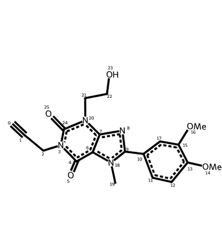 C#CCn1c(=O)c2c(nc(-c3ccc(OC)c(OC)c3)n2C)n(CCO)c1=O